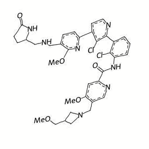 COCC1CN(Cc2cnc(C(=O)Nc3cccc(-c4nccc(-c5ccc(CNCC6CCC(=O)N6)c(OC)n5)c4Cl)c3Cl)cc2OC)C1